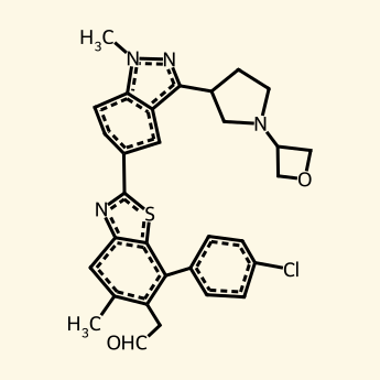 Cc1cc2nc(-c3ccc4c(c3)c(C3CCN(C5COC5)C3)nn4C)sc2c(-c2ccc(Cl)cc2)c1CC=O